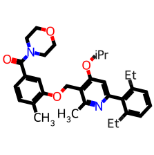 CCc1cccc(CC)c1-c1cc(OC(C)C)c(COc2cc(C(=O)N3CCOCC3)ccc2C)c(C)n1